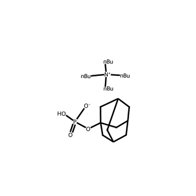 CCCC[N+](CCCC)(CCCC)CCCC.O=P([O-])(O)OC12CC3CC(CC(C3)C1)C2